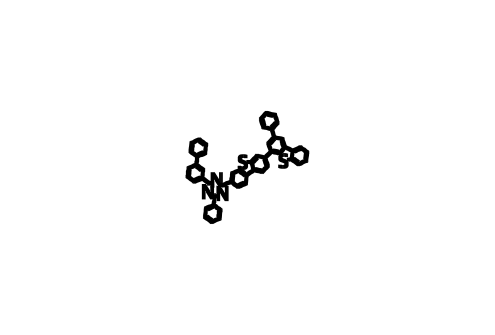 c1ccc(-c2cccc(-c3nc(-c4ccccc4)nc(-c4ccc5c(c4)sc4cc(-c6cc(-c7ccccc7)cc7c6sc6ccccc67)ccc45)n3)c2)cc1